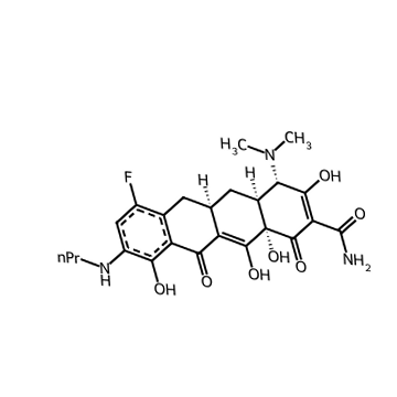 CCCNc1cc(F)c2c(c1O)C(=O)C1=C(O)[C@]3(O)C(=O)C(C(N)=O)=C(O)[C@@H](N(C)C)[C@@H]3C[C@@H]1C2